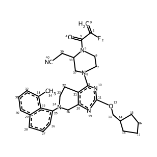 C=C(F)C(=O)N1CCN(c2nc(OCC3CCCC3)nc3c2CCN(c2cccc4cccc(C)c24)C3)CC1CC#N